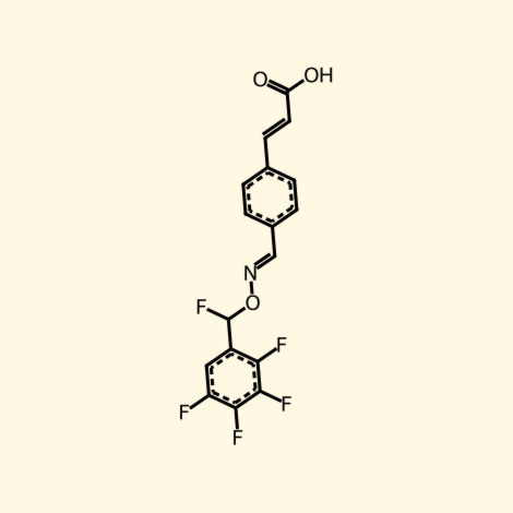 O=C(O)C=Cc1ccc(C=NOC(F)c2cc(F)c(F)c(F)c2F)cc1